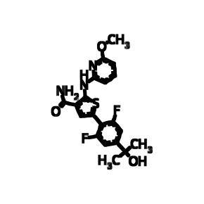 COc1cccc(Nc2sc(-c3c(F)cc(C(C)(C)O)cc3F)cc2C(N)=O)n1